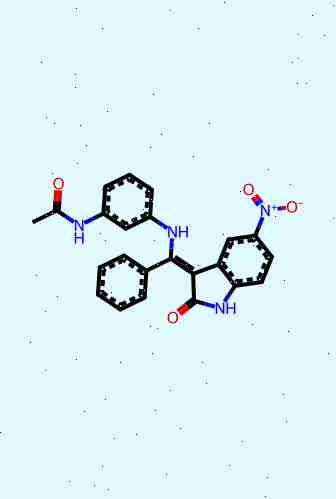 CC(=O)Nc1cccc(NC(=C2C(=O)Nc3ccc([N+](=O)[O-])cc32)c2ccccc2)c1